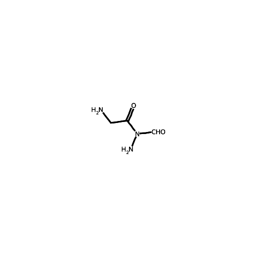 NCC(=O)N(N)C=O